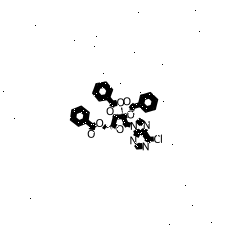 C[C@]1(OC(=O)c2ccccc2)C(n2cnc3c(Cl)ncnc32)O[C@H](COC(=O)c2ccccc2)[C@H]1OC(=O)c1ccccc1